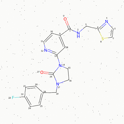 O=C(NCc1nccs1)c1ccnc(N2CCN(Cc3ccc(F)cc3)C2=O)c1